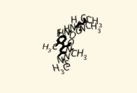 CCn1c(=O)c(-c2cc(NC(=O)Nc3cc(C(C)(C)C)no3)c(F)cc2C)cc2cnc(SC)nc21